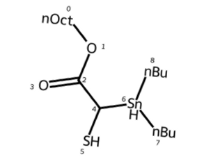 CCCCCCCCOC(=O)[CH](S)[SnH]([CH2]CCC)[CH2]CCC